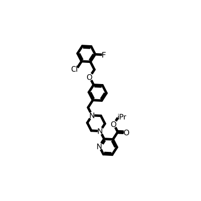 CC(C)OC(=O)c1cccnc1N1CCN(Cc2cccc(OCc3c(F)cccc3Cl)c2)CC1